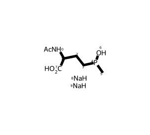 CC(=O)NC(CCP(C)O)C(=O)O.[NaH].[NaH]